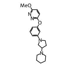 COc1ccc(Oc2cccc(N3CCC(N4CCCCC4)C3)c2)nn1